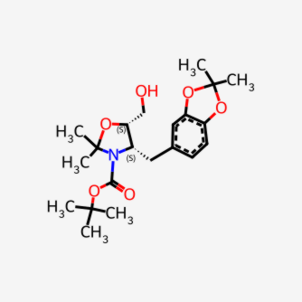 CC(C)(C)OC(=O)N1[C@@H](Cc2ccc3c(c2)OC(C)(C)O3)[C@@H](CO)OC1(C)C